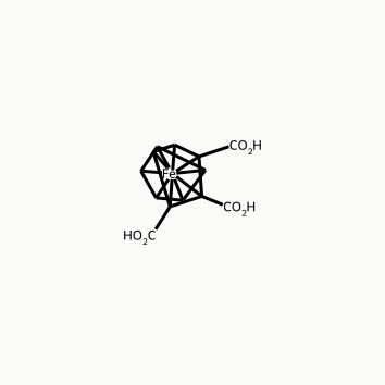 O=C(O)[C]12[CH]3[CH]4[C]5(C(=O)O)[C]1(C(=O)O)[Fe]34251678[CH]2[CH]1[CH]6[CH]7[CH]28